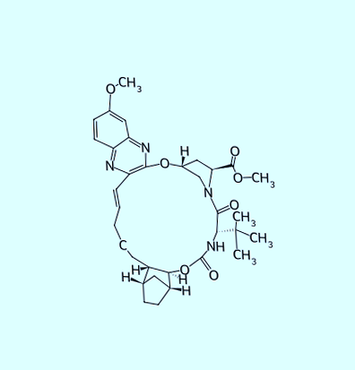 COC(=O)[C@@H]1C[C@@H]2CN1C(=O)[C@H](C(C)(C)C)NC(=O)O[C@H]1[C@@H]3CC[C@@H](C3)[C@@H]1CCC/C=C/c1nc3ccc(OC)cc3nc1O2